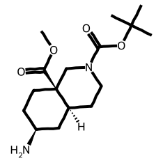 COC(=O)[C@]12CC[C@H](N)C[C@@H]1CCN(C(=O)OC(C)(C)C)C2